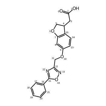 O=C(O)CC1COc2cc(OCc3noc(-c4ccccc4)n3)ccc21